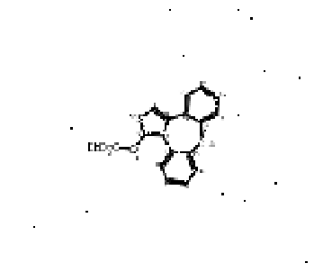 CCOC(=O)Oc1scc2c1-c1ccccc1Sc1ccccc1-2